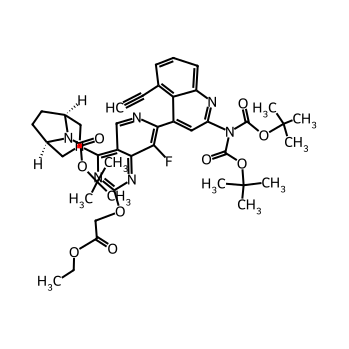 C#Cc1cccc2nc(N(C(=O)OC(C)(C)C)C(=O)OC(C)(C)C)cc(-c3ncc4c(N5C[C@H]6CC[C@@H](C5)N6C(=O)OC(C)(C)C)nc(OCC(=O)OCC)nc4c3F)c12